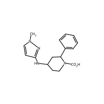 Cn1ccc(NC2CCN(C(=O)O)C(c3ccccc3)C2)n1